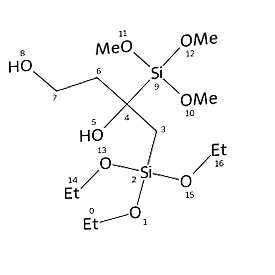 CCO[Si](CC(O)(CCO)[Si](OC)(OC)OC)(OCC)OCC